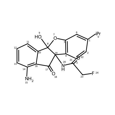 CC(C)c1ccc2c(c1)OC1(O)c3cccc(N)c3C(=O)C21NC(=O)CF